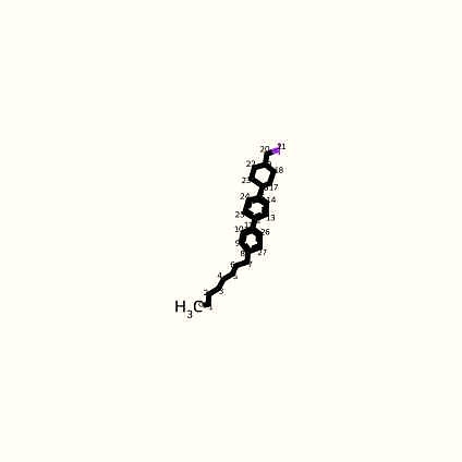 CCCCCCCCc1ccc(-c2ccc(C3CCC(CI)CC3)cc2)cc1